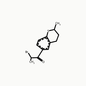 CC1CCc2cc(C(=O)C(C)Br)ccc2S1